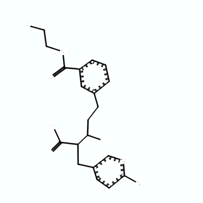 Nc1ccc(CC(C(=O)O)C(S)CCc2cccc(C(=O)NCCF)c2)cn1